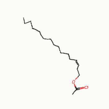 CCCCCCCCCCCC/C=C\CCOC(C)=O